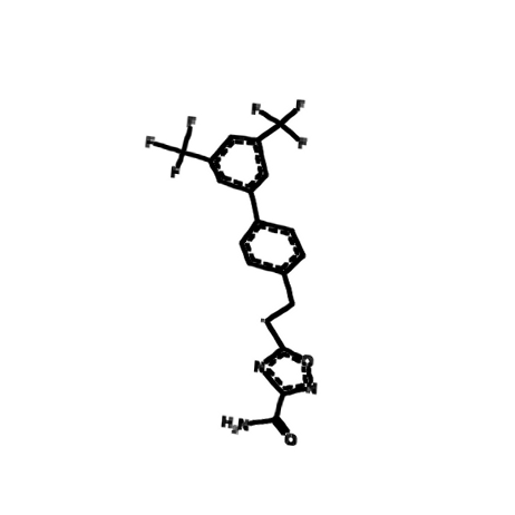 NC(=O)c1noc([CH]Cc2ccc(-c3cc(C(F)(F)F)cc(C(F)(F)F)c3)cc2)n1